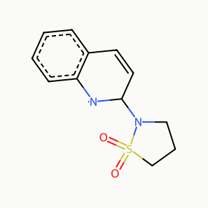 O=S1(=O)CCCN1C1C=Cc2ccccc2[N]1